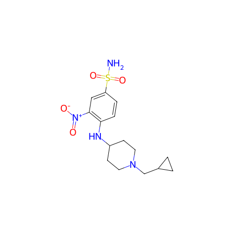 NS(=O)(=O)c1ccc(NC2CCN(CC3CC3)CC2)c([N+](=O)[O-])c1